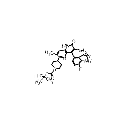 Cc1cc2[nH]c(=O)c(N)c(-c3ccc(F)c4[nH]ncc34)c2nc1C1CCN(C(=O)OC(C)(C)C)CC1